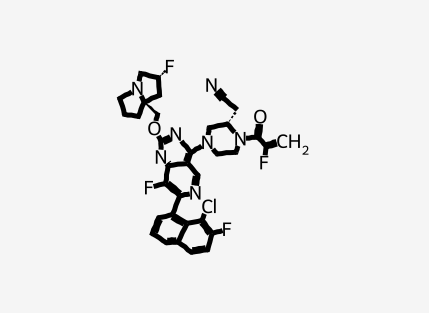 C=C(F)C(=O)N1CCN(c2nc(OC[C@@]34CCCN3C[C@H](F)C4)nc3c(F)c(-c4cccc5ccc(F)c(Cl)c45)ncc23)C[C@@H]1CC#N